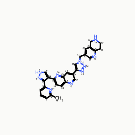 Cc1cccc(-c2n[nH]cc2-c2ccc3ncc(-c4cn(Cc5cnc6c(c5)CNCC6)nn4)cc3n2)n1